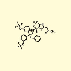 CC(=O)Cc1nc(C)c(S(=O)(=O)NCC(Cc2ccccc2)(c2cccc(OC(F)(F)F)c2)c2cccc(OC(F)(F)F)c2)s1